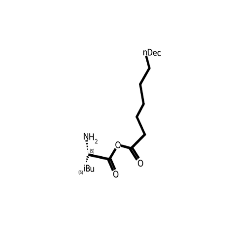 CCCCCCCCCCCCCCCC(=O)OC(=O)[C@@H](N)[C@@H](C)CC